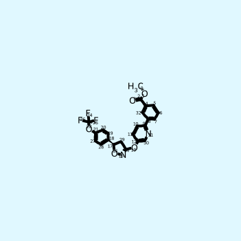 COC(=O)c1cccc(-c2ccc(OC3=NO[C@@H](c4ccc(OC(F)(F)F)cc4)C3)cn2)c1